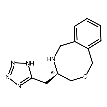 c1ccc2c(c1)CN[C@H](Cc1nnn[nH]1)COC2